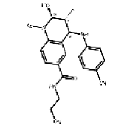 CC(=O)N1c2ccc(C(=O)NCCO)cc2[C@H](Nc2ccc(C#N)cc2)[C@@H](C)[C@@H]1O